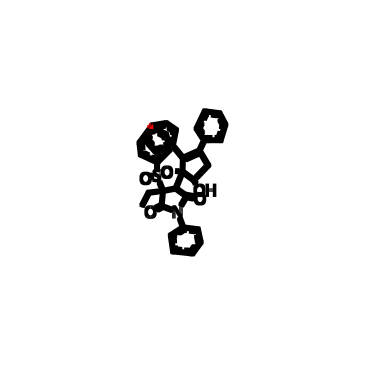 CCC1(S(=O)(=O)c2ccccc2)C(=O)N(c2ccccc2)C(=O)C1C1(C)C(c2ccccc2)=C(c2ccccc2)CC1O